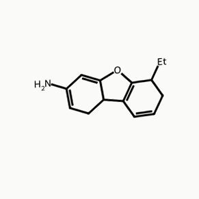 CCC1CC=CC2=C1OC1=CC(N)=CCC12